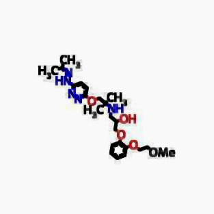 COCCOc1ccccc1OCC(O)CNC(C)(C)COc1ccc(NN=C(C)C)nn1